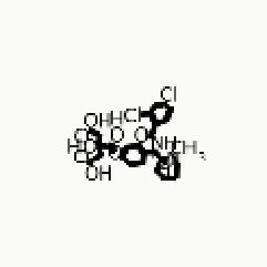 CN1CC2CCC1([C@H](NC(=O)c1ccc(Cl)cc1Cl)c1ccccc1)CC2.O=C(O)CC(O)(CC(=O)O)C(=O)O